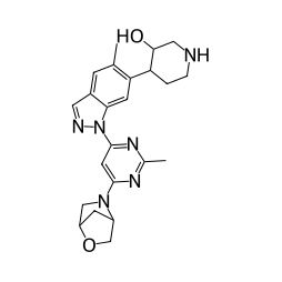 Cc1nc(N2CC3CC2CO3)cc(-n2ncc3cc(C)c(C4CCNCC4O)cc32)n1